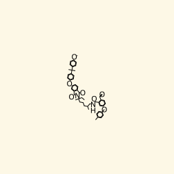 CCC(C)(CCCC(C)CNC(=O)c1cc(Oc2ccc(C)cc2)ccc1C=O)N1C(=O)c2ccc(Oc3ccc(C(C)(C)c4ccc(OC)cc4)cc3)cc2C1=O